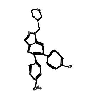 Cc1ccc(-c2nc3cnn(CC4CCNC4)c3cc2-c2ccc(C#N)cc2)cc1